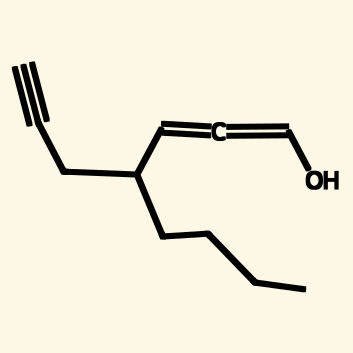 C#CCC(C=C=CO)CCCC